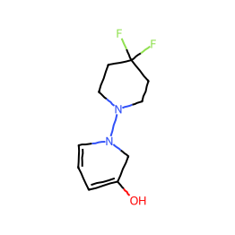 OC1=CC=CN(N2CCC(F)(F)CC2)C1